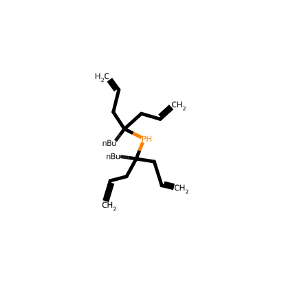 C=CCC(CC=C)(CCCC)PC(CC=C)(CC=C)CCCC